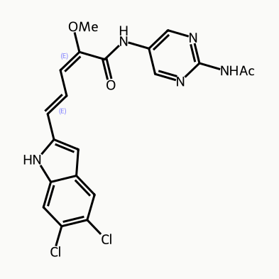 CO/C(=C/C=C/c1cc2cc(Cl)c(Cl)cc2[nH]1)C(=O)Nc1cnc(NC(C)=O)nc1